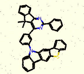 CC1(C)c2ccccc2-c2nc(-c3ccccc3)nc(-c3cccc(-n4c5ccccc5c5cc6sc7ccccc7c6cc54)c3)c21